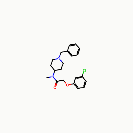 CN(C(=O)COc1cccc(Cl)c1)C1CCN(Cc2ccccc2)CC1